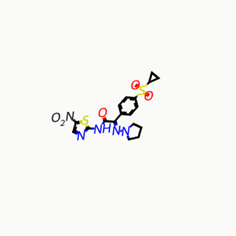 O=C(Nc1ncc([N+](=O)[O-])s1)/C(=N/N1CCCC1)c1ccc(S(=O)(=O)C2CC2)cc1